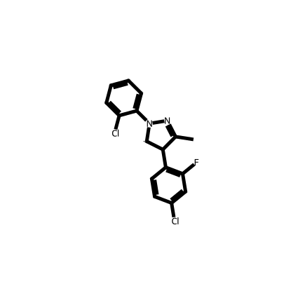 CC1=NN(c2ccccc2Cl)[CH]C1c1ccc(Cl)cc1F